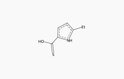 CCc1ccc(C(O)=S)[nH]1